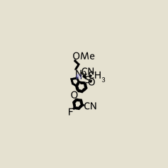 COCCC/N=C1\CCc2c(Oc3cc(F)cc(C#N)c3)ccc(S(C)(=O)=NC#N)c21